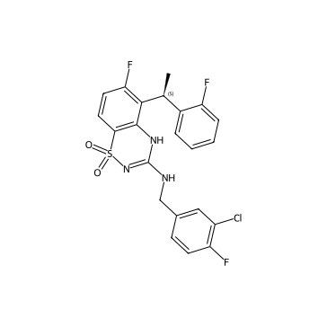 C[C@@H](c1ccccc1F)c1c(F)ccc2c1NC(NCc1ccc(F)c(Cl)c1)=NS2(=O)=O